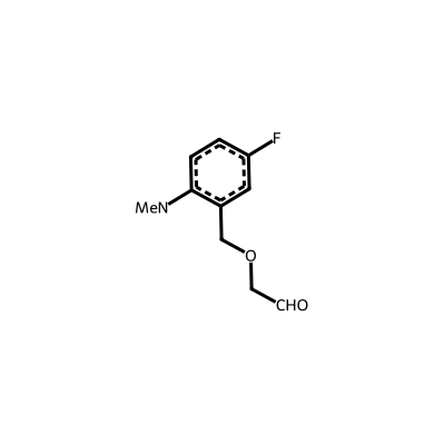 CNc1ccc(F)cc1COCC=O